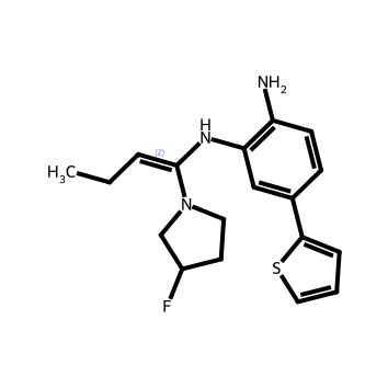 CC/C=C(/Nc1cc(-c2cccs2)ccc1N)N1CCC(F)C1